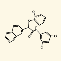 O=C(Nc1cc(Cl)cc(Cl)c1)C(Sc1cccc[n+]1[O-])c1ccc2ccccc2c1